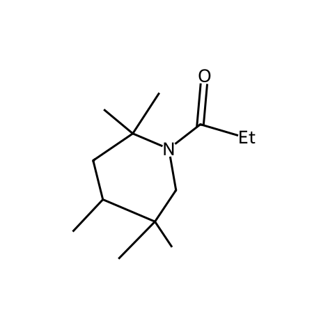 CCC(=O)N1CC(C)(C)C(C)CC1(C)C